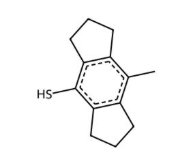 Cc1c2c(c(S)c3c1CCC3)CCC2